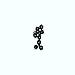 c1ccc(N(c2ccccc2)c2ccc(-c3ccc(-n4c5cccc6c5c5c7c(cccc7c7oc8ccccc8c7c54)-c4ccccc4-6)cc3)cc2)cc1